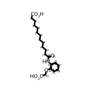 O=C(O)CCCCCCCCCCCC(=O)Nc1ccccc1OCC(=O)O